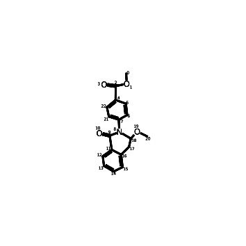 COC(=O)c1ccc(N2C(=O)c3ccccc3CC2OC)cc1